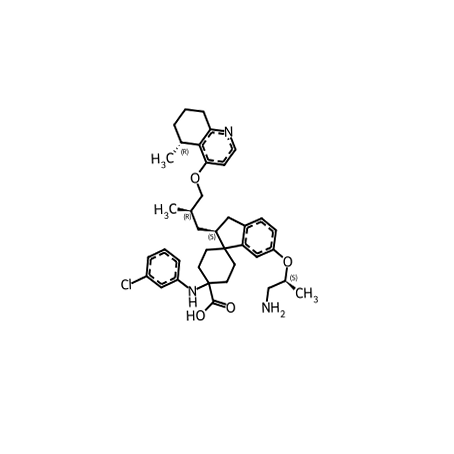 C[C@@H](COc1ccnc2c1[C@H](C)CCC2)C[C@H]1Cc2ccc(O[C@@H](C)CN)cc2C12CCC(Nc1cccc(Cl)c1)(C(=O)O)CC2